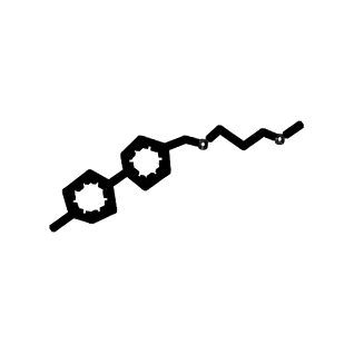 COCCCOCc1ccc(-c2ccc(C)cc2)cc1